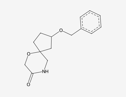 O=C1COC2(CCC(OCc3ccccc3)C2)CN1